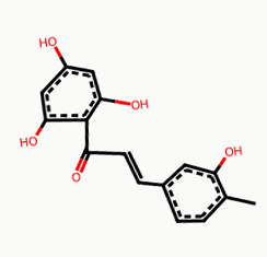 Cc1ccc(/C=C/C(=O)c2c(O)cc(O)cc2O)cc1O